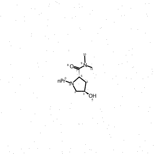 CCCN1C[C@H](O)C[C@H]1C(=O)N(C)C